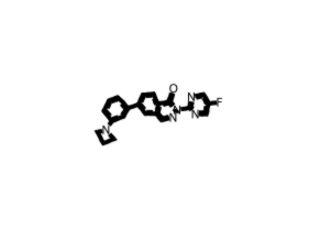 O=c1c2ccc(-c3cccc(N4CCC4)c3)cc2cnn1-c1ncc(F)cn1